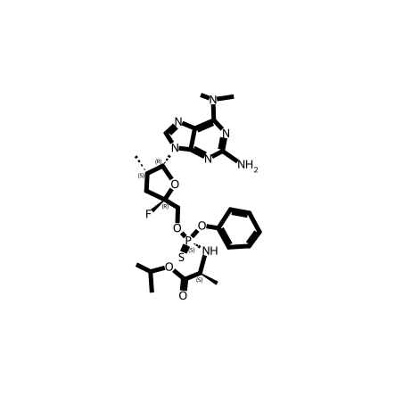 CC(C)OC(=O)[C@H](C)N[P@](=S)(OC[C@]1(F)C[C@H](C)[C@H](n2cnc3c(N(C)C)nc(N)nc32)O1)Oc1ccccc1